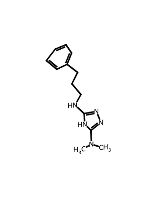 CN(C)c1nnc(NCCCc2ccccc2)[nH]1